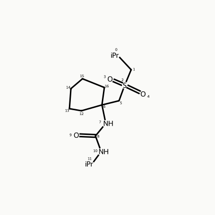 CC(C)CS(=O)(=O)CC1(NC(=O)NC(C)C)CCCCC1